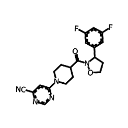 N#Cc1cc(N2CCC(C(=O)N3OCCC3c3cc(F)cc(F)c3)CC2)ncn1